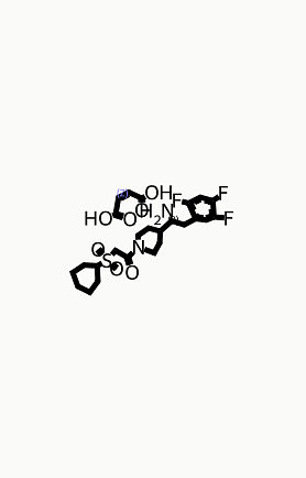 N[C@H](Cc1cc(F)c(F)cc1F)C1CCN(C(=O)CS(=O)(=O)C2CCCCC2)CC1.O=C(O)/C=C\C(=O)O